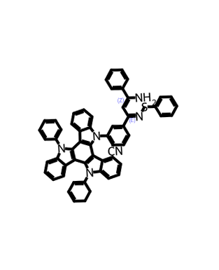 N#Cc1ccc(C(/C=C(\N)c2ccccc2)=N/Sc2ccccc2)cc1-n1c2ccccc2c2c3c(c4ccccc4n3-c3ccccc3)c3c(c4ccccc4n3C3=CC=CCC3)c21